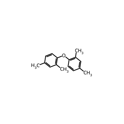 Cc1ccc(Oc2ccc(C)cc2C)c(C)c1